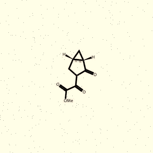 COC(=O)C(=O)C1C[C@@H]2C[C@@H]2C1=O